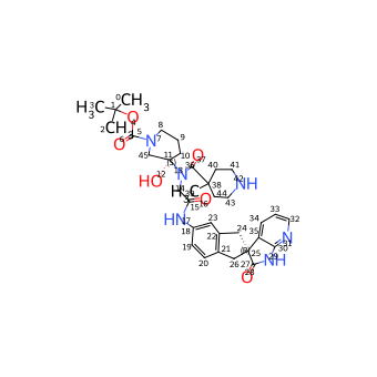 CC(C)(C)OC(=O)N1CCC[C@@](O)(N(CC(=O)Nc2ccc3c(c2)C[C@@]2(C3)C(=O)Nc3ncccc32)C(=O)C2(C)CCNCC2)C1